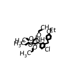 CC=COC[C@H]1N[C@@H](c2ccc(Cl)c(Cc3ccc(OCC)cc3)c2)[C@H](OC=CC)[C@@H](OC=CC)[C@@H]1OC=CC